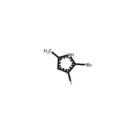 Cc1cc(I)c(C(C)(C)C)[nH]1